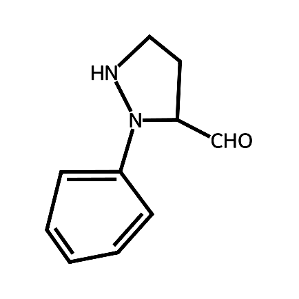 O=CC1CCNN1c1ccccc1